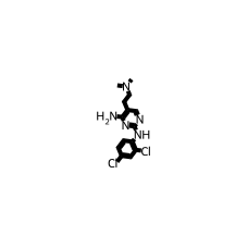 CN(C)CCc1cnc(Nc2ccc(Cl)cc2Cl)nc1N